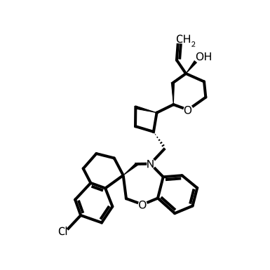 C=C[C@]1(O)CCO[C@@H]([C@@H]2CC[C@H]2CN2C[C@@]3(CCCc4cc(Cl)ccc43)COc3ccccc32)C1